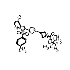 Cc1ccc(S(=O)(=O)n2c(C3=CCN(C4CN(C(=O)OC(C)(C)C)C4)CC3)cc3c(Cl)ccnc32)cc1